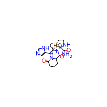 NC(=O)C1(N(C(=O)C2CCCC(=O)N2)[C@H](C=O)Cc2cnc[nH]2)N[CH]CS1